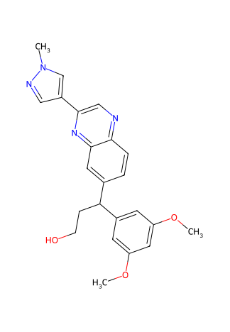 COc1cc(OC)cc(C(CCO)c2ccc3ncc(-c4cnn(C)c4)nc3c2)c1